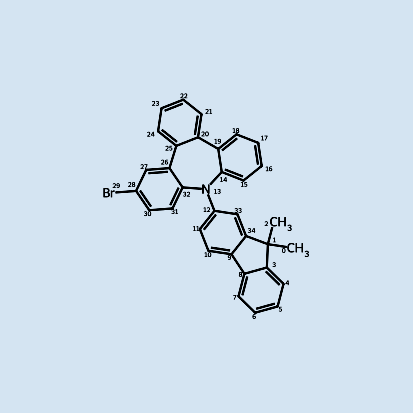 CC1(C)c2ccccc2-c2ccc(N3c4ccccc4-c4ccccc4-c4cc(Br)ccc43)cc21